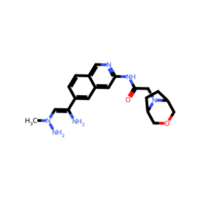 CN(N)/C=C(\N)c1ccc2cnc(NC(=O)CN3C4CCC3COC4)cc2c1